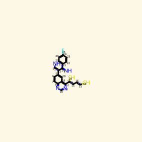 N=C(/C(=C\N)c1ccc2ncnc(/C(S)=C/C=C/S)c2c1)c1ccc(F)cc1